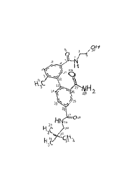 Cc1ccc(C(=O)NCCO)cc1-c1ccc(C(=O)NCC(C)(C)C)cc1C(N)=O